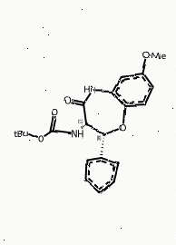 COc1ccc2c(c1)NC(=O)[C@@H](NC(=O)OC(C)(C)C)[C@@H](c1ccccc1)O2